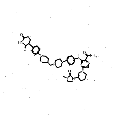 CN1CCN(C2CCCN(c3cnc(C(N)=O)c(Nc4ccc(C5CCN(CC6CCN(c7ccc(C8CCC(=O)NC8=O)cc7)CC6)CC5)cc4)n3)C2)C1=O